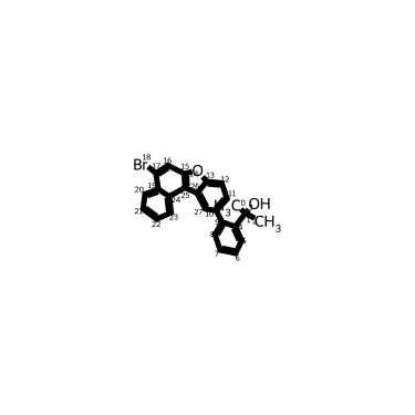 CC(C)(O)c1ccccc1-c1ccc2oc3cc(Br)c4ccccc4c3c2c1